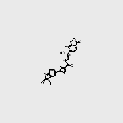 Cc1c([C@@H](O)CNC(=O)c2cnc(-c3ccc4oc(=O)n(C)c4c3)s2)ccc2c1COC2=O